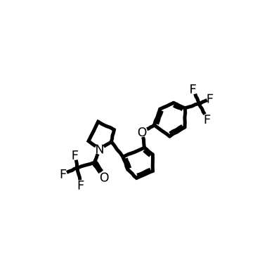 O=C(N1CCCC1c1ccccc1Oc1ccc(C(F)(F)F)cc1)C(F)(F)F